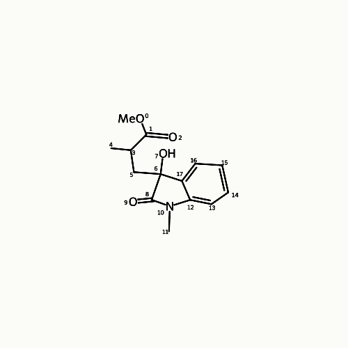 COC(=O)C(C)CC1(O)C(=O)N(C)c2ccccc21